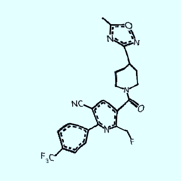 Cc1nc(C2CCN(C(=O)c3cc(C#N)c(-c4ccc(C(F)(F)F)cc4)nc3CF)CC2)no1